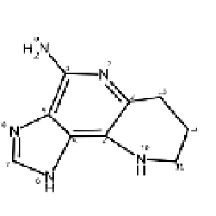 Nc1nc2c(c3[nH]cnc13)NCCC2